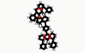 c1ccc(-c2ccccc2N(c2ccc(-c3ccc4c(c3)Oc3cccc5c(N(c6ccccc6-c6ccccc6)c6cccc7c6oc6ccccc67)ccc-4c35)cc2)c2ccccc2-c2ccccc2)cc1